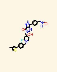 Cc1csc(-c2ccc(CN3CCC(O)(Cn4cnc5c(-c6ccc(CNC=O)cc6)n(C)nc5c4=O)CC3)c(F)c2)c1